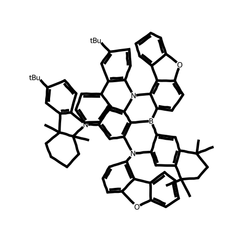 CC(C)(C)c1ccc(N2c3cc(N4c5ccc(C(C)(C)C)cc5C5(C)CCCCC45C)cc4c3B(c3cc5c(cc3N4c3cccc4oc6ccccc6c34)C(C)(C)CCC5(C)C)c3ccc4oc5ccccc5c4c32)c(-c2ccccc2)c1